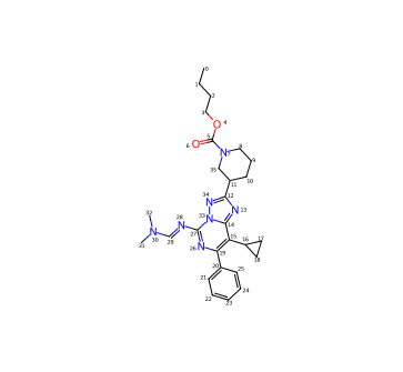 CCCCOC(=O)N1CCCC(c2nc3c(C4CC4)c(-c4ccccc4)nc(/N=C/N(C)C)n3n2)C1